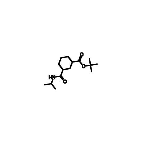 CC(C)NC(=O)C1CCCC(C(=O)OC(C)(C)C)C1